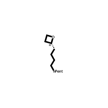 CCCCCCCCC[C@@H]1CCO1